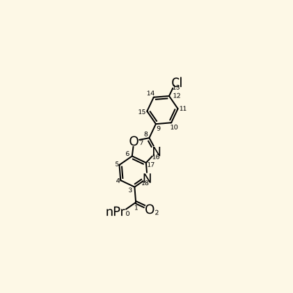 CCCC(=O)c1ccc2oc(-c3ccc(Cl)cc3)nc2n1